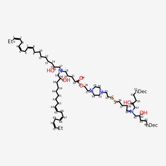 CC/C=C\C/C=C\C/C=C\CCCCCCC(O)CN(CCCCC(=O)OCCN1CCN(CCSSCCCCN(CC(O)CCCCCCCCCCCC)CC(O)CCCCCCCCCCCC)CC1)CC(O)CCCCCC/C=C\C/C=C\C/C=C\CC